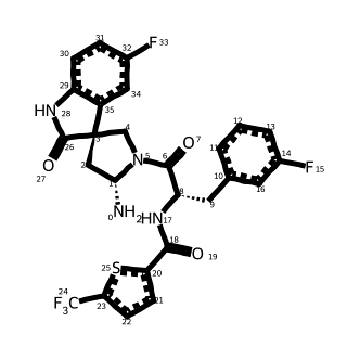 N[C@@H]1C[C@@]2(CN1C(=O)[C@H](Cc1cccc(F)c1)NC(=O)c1ccc(C(F)(F)F)s1)C(=O)Nc1ccc(F)cc12